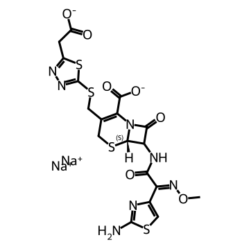 CON=C(C(=O)NC1C(=O)N2C(C(=O)[O-])=C(CSc3nnc(CC(=O)[O-])s3)CS[C@@H]12)c1csc(N)n1.[Na+].[Na+]